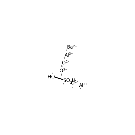 O=S(=O)(O)O.[Al+3].[Al+3].[Ba+2].[O-2].[O-2].[O-2]